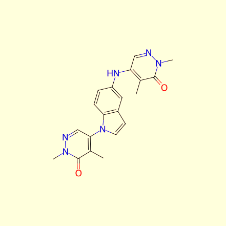 Cc1c(Nc2ccc3c(ccn3-c3cnn(C)c(=O)c3C)c2)cnn(C)c1=O